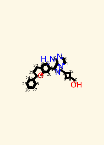 Nc1nccn2c(C3CC(CO)C3)nc(-c3ccc4c(c3)OC(c3ccccc3)C=C4)c12